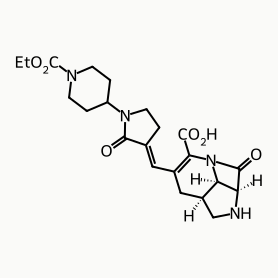 CCOC(=O)N1CCC(N2CC/C(=C\C3=C(C(=O)O)N4C(=O)[C@H]5NC[C@@H](C3)[C@H]54)C2=O)CC1